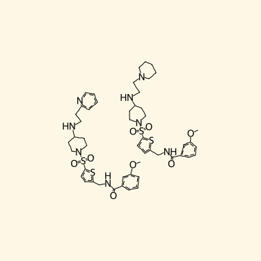 COc1cccc(C(=O)NCc2ccc(S(=O)(=O)N3CCC(NCCN4CCCCC4)CC3)s2)c1.COc1cccc(C(=O)NCc2ccc(S(=O)(=O)N3CCC(NCCc4ccccn4)CC3)s2)c1